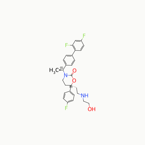 C[C@@H](c1ccc(-c2ccc(F)cc2F)cc1)N1CC[C@](CCNCCO)(c2ccc(F)cc2)OC1=O